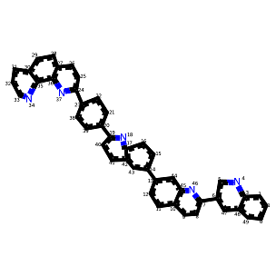 c1ccc2ncc(-c3ccc4ccc(-c5ccc6nc(-c7ccc(-c8ccc9ccc%10cccnc%10c9n8)cc7)ccc6c5)cc4n3)cc2c1